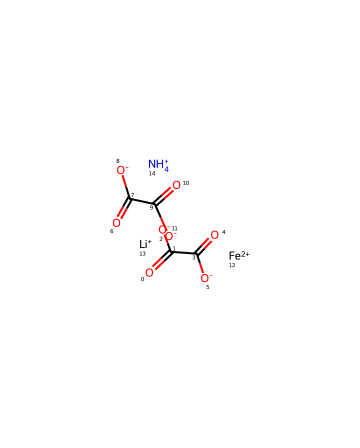 O=C([O-])C(=O)[O-].O=C([O-])C(=O)[O-].[Fe+2].[Li+].[NH4+]